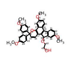 COc1ccc(C2(c3ccc(OC)cc3)C=Cc3c4c(c5ccc(OC)cc5c3O2)-c2ccc(OC)cc2C4OCCO)cc1